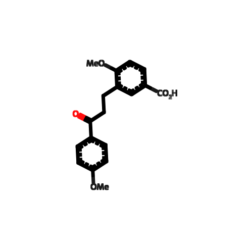 COc1ccc(C(=O)CCc2cc(C(=O)O)ccc2OC)cc1